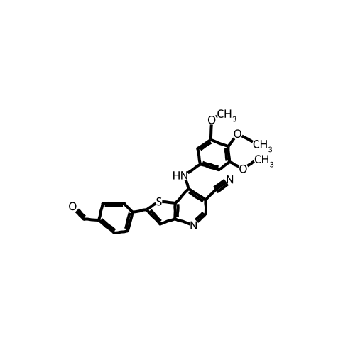 COc1cc(Nc2c(C#N)cnc3cc(-c4ccc(C=O)cc4)sc23)cc(OC)c1OC